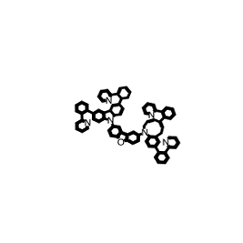 C1=CCC(C2=CC3c4cc(-c5ccccc5-c5ccccn5)ccc4N(c4ccc5oc6ccc(N7C/C=C\C(c8ccccc8-c8ccccn8)=C/Cc8cc(-c9ccccc9-c9ccccn9)ccc87)cc6c5c4)C3C=C2)C(c2ccccn2)=C1